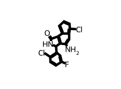 Nc1cc2c(Cl)cccc2c2c1C(c1cc(F)ccc1Cl)NC2=O